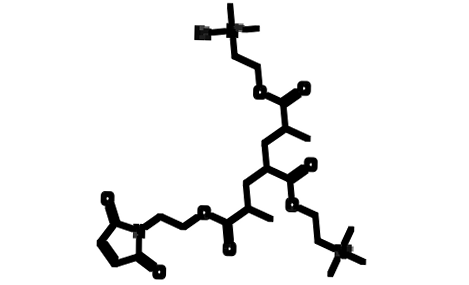 CC[N+](C)(C)CCOC(=O)C(C)CC(CC(C)C(=O)OCCN1C(=O)C=CC1=O)C(=O)OCC[N+](C)(C)C